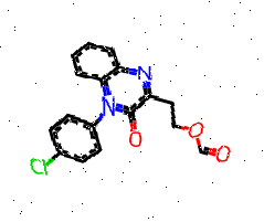 O=COCCc1nc2ccccc2n(-c2ccc(Cl)cc2)c1=O